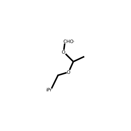 CC(C)COC(C)O[C]=O